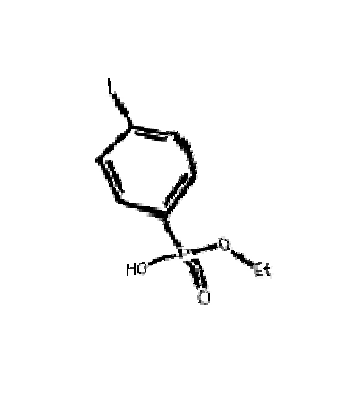 CCOP(=O)(O)c1ccc(I)cc1